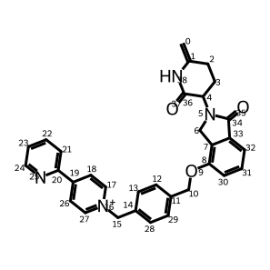 C=C1CCC(N2Cc3c(OCc4ccc(C[n+]5ccc(-c6ccccn6)cc5)cc4)cccc3C2=O)C(=O)N1